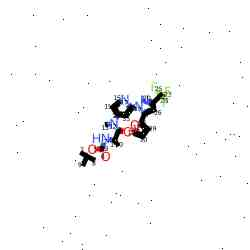 CC(NC(=O)OC(C)(C)C)C(=O)N(C)c1ccnc(-n2nc(C(F)(F)F)cc2-c2ccco2)c1